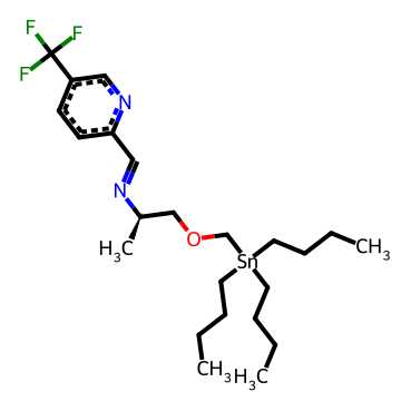 CCC[CH2][Sn]([CH2]CCC)([CH2]CCC)[CH2]OC[C@@H](C)/N=C/c1ccc(C(F)(F)F)cn1